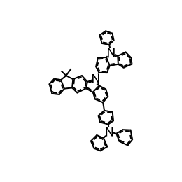 CC1(C)c2ccccc2-c2cc3c4cc(-c5ccc(N(c6ccccc6)c6ccccc6)cc5)ccc4n(-c4ccc5c(c4)c4ccccc4n5-c4ccccc4)c3cc21